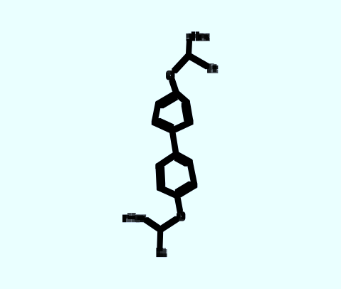 CCCCCCC(CC)Oc1ccc(-c2ccc(OC(CC)CCCCCC)cc2)cc1